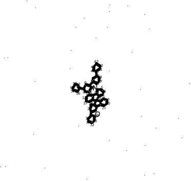 C1=c2c(n(-c3cccc4c3-c3ccccc3C43c4ccccc4-c4c3ccc3c4oc4ccccc43)c3ccc(-c4ccccc4)cc23)=CCC1c1ccccc1